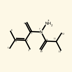 C=C(C(C)=C(C)C)N(N)C(=C)C(C)C